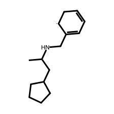 CC(CC1CCCC1)NCC1=CC=CC[CH]1